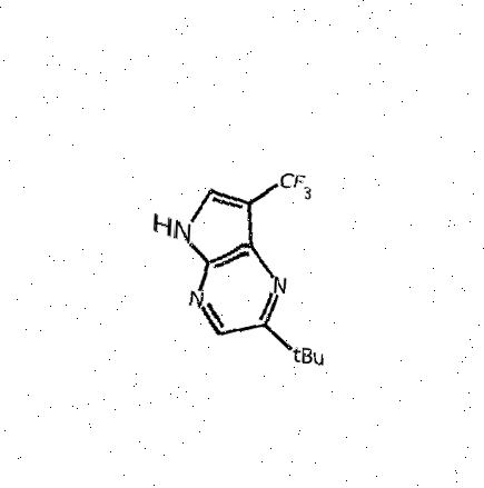 CC(C)(C)c1cnc2[nH]cc(C(F)(F)F)c2n1